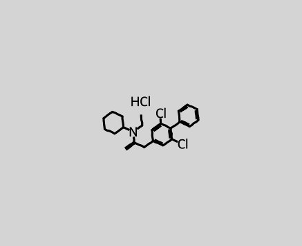 C=C(Cc1cc(Cl)c(-c2ccccc2)c(Cl)c1)N(CC)C1CCCCC1.Cl